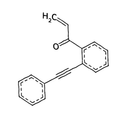 C=CC(=O)c1ccccc1C#Cc1ccccc1